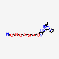 CCc1cnn2c(NCc3ccc(OCCOCCOCCOCCOCCOCCOCCN(C)C)nc3)cc(N3CCCCC3)nc12